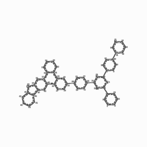 c1ccc(-c2nc(-c3ccc(-c4cccnc4)cc3)nc(-c3ccc(-c4ccc5c(c4)c4ccccc4c4cc6oc7ccccc7c6cc54)cc3)n2)cc1